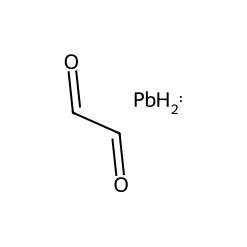 O=CC=O.[PbH2]